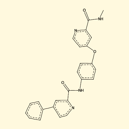 CNC(=O)c1cc(Oc2ccc(NC(=O)c3cc(-c4ccccc4)ccn3)cc2)ccn1